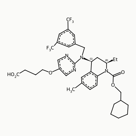 CC[C@@H]1C[C@H](N(Cc2cc(C(F)(F)F)cc(C(F)(F)F)c2)c2ncc(OCCCC(=O)O)cn2)c2cc(C)ccc2N1C(=O)OCC1CCCCC1